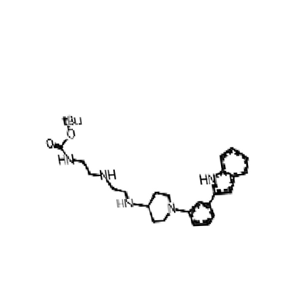 CC(C)(C)OC(=O)NCCNCCNC1CCN(c2cccc(-c3cc4ccccc4[nH]3)c2)CC1